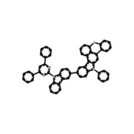 c1ccc(-c2cc(-c3ccccc3)nc(-n3c4ccccc4c4cc(-c5ccc6c(c5)c5c7cccc8c7c(cc5n6-c5ccccc5)-c5ccccc5S8)ccc43)n2)cc1